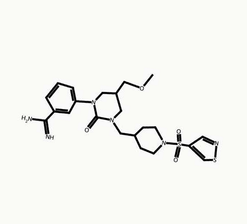 COCC1CN(CC2CCN(S(=O)(=O)c3cnsc3)CC2)C(=O)N(c2cccc(C(=N)N)c2)C1